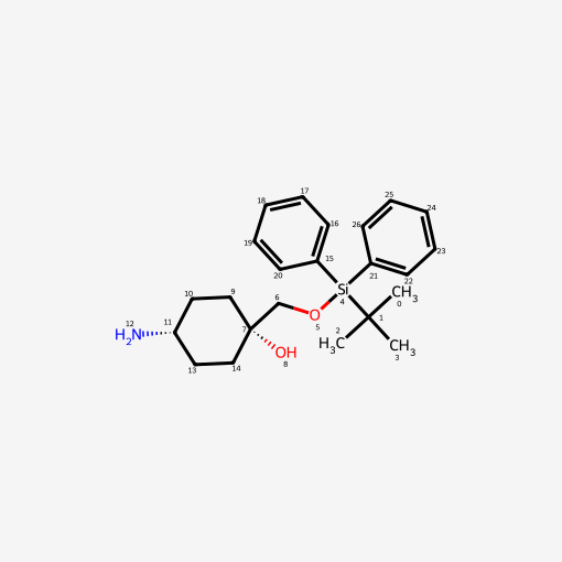 CC(C)(C)[Si](OC[C@]1(O)CC[C@@H](N)CC1)(c1ccccc1)c1ccccc1